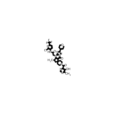 Cc1ncnc(C(=O)N2CCC3(CC2)C[C@@H](C)c2c3c(=O)n3nc(C4=CCOCC4)nc3n2CC(=O)Nc2ccc(C(F)(F)F)nc2Cl)c1O